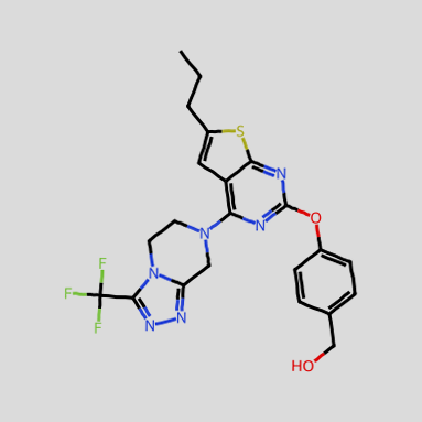 CCCc1cc2c(N3CCn4c(nnc4C(F)(F)F)C3)nc(Oc3ccc(CO)cc3)nc2s1